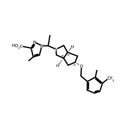 Cc1cn(C(C)N2C[C@H]3C[C@H](OCc4cccc(C(F)(F)F)c4C)C[C@H]3C2)nc1C(=O)O